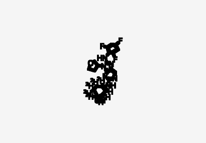 [2H]C1C([2H])(Nc2ncc3nc(Nc4c(F)cc(F)cc4F)n(C4CCOC4)c3n2)C([2H])C([2H])([2H])C([2H])(O)C1([2H])[2H]